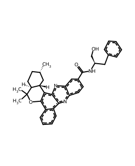 C[C@H]1CC[C@H]2[C@H](C1)c1c(c3ccccc3c3nc4ccc(C(=O)N[C@@H](CO)Cc5ccccc5)cc4nc13)OC2(C)C